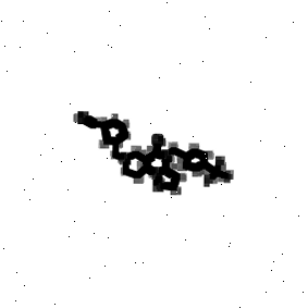 N#Cc1cccc(CN2CCc3c(c(=O)n(Cc4ccc(C(F)(F)F)cc4)c4ccnn34)C2)c1